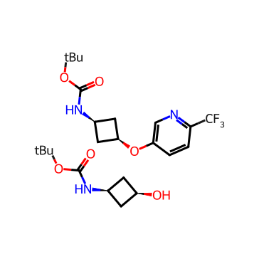 CC(C)(C)OC(=O)N[C@H]1C[C@@H](O)C1.CC(C)(C)OC(=O)N[C@H]1C[C@@H](Oc2ccc(C(F)(F)F)nc2)C1